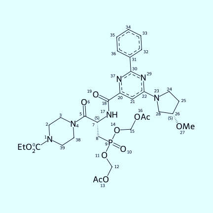 CCOC(=O)N1CCN(C(=O)[C@@H](CP(=O)(OCOC(C)=O)OCOC(C)=O)NC(=O)c2cc(N3CC[C@H](OC)C3)nc(-c3ccccc3)n2)CC1